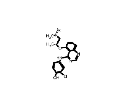 CC(=O)N(C)C[C@@H](C)Oc1cccc2ncnc(Nc3ccc(O)c(Cl)c3)c12